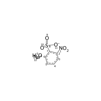 O.O=[N+]([O-])c1ccccc1S(=O)(=O)[O-].[Na+]